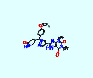 CCCn1c(=O)c2[nH]c(-c3cnn(C(c4ccc(OC(F)(F)F)cc4)C4CNC(=O)C4)c3)nc2n(CCC)c1=O